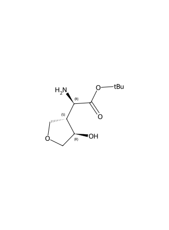 CC(C)(C)OC(=O)[C@H](N)[C@H]1COC[C@@H]1O